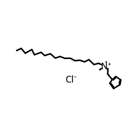 CCCCCCCCCCCCCCCCCC[N+](C)(C)CCc1ccccc1.[Cl-]